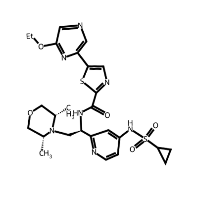 CCOc1cncc(-c2cnc(C(=O)N[C@H](CN3[C@H](C)COC[C@@H]3C)c3cc(NS(=O)(=O)C4CC4)ccn3)s2)n1